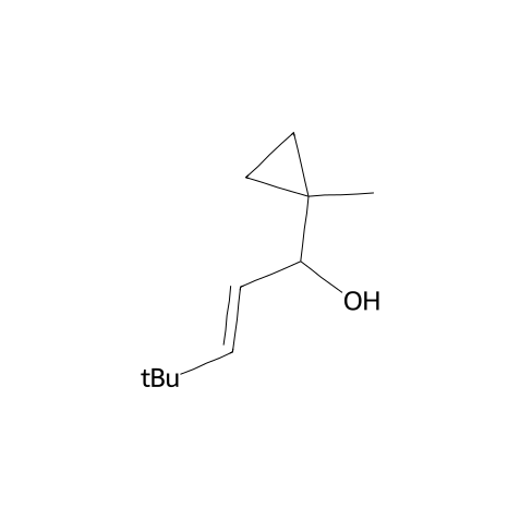 CC(C)(C)/C=C/C(O)C1(C)CC1